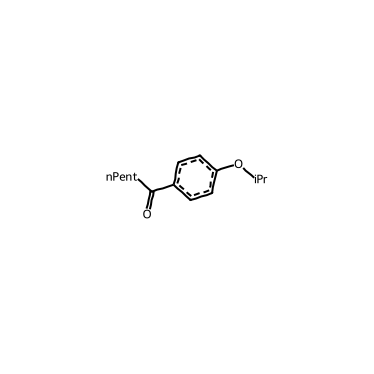 CCCCCC(=O)c1ccc(OC(C)C)cc1